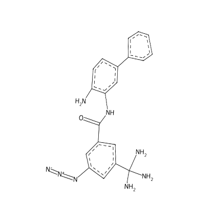 [N-]=[N+]=Nc1cc(C(=O)Nc2cc(-c3ccccc3)ccc2N)cc(C(N)(N)N)c1